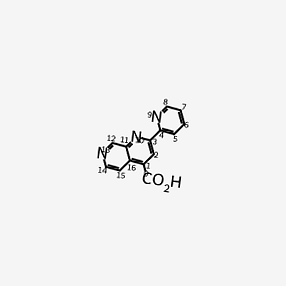 O=C(O)c1cc(-c2ccccn2)nc2cnccc12